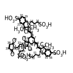 CC1(C)/C(=C\C=C2C=C(/C=C/C3(C)N(CCCS(=O)(=O)O)c4ccc(S(=O)(=O)O)cc4C3(C)C)CC(C(=O)NCCN3C(=O)C=CC3=O)(C(=O)NCCS(=O)(=O)O)C\2)N(CCCS(=O)(=O)O)c2ccc(S(=O)(=O)O)cc21